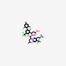 Cc1cc(C)c(-c2cc(C(F)(F)F)c(F)c(C(CC(=O)O)NC(=O)C(CC(C)C)n3cc(CCN(C)C)c(C(F)(F)F)cc3=O)c2F)c(F)c1